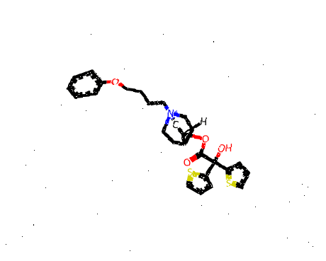 O=C(O[C@H]1C[N+]2(CCCCOc3ccccc3)CCC1CC2)C(O)(c1cccs1)c1cccs1